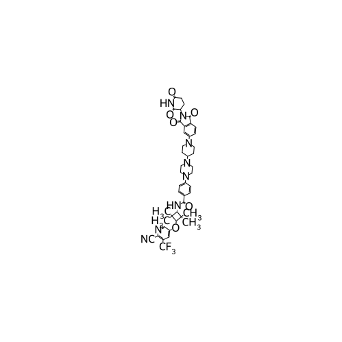 CC1(C)[C@H](NC(=O)c2ccc(N3CCN(C4CCN(c5ccc6c(c5)C(=O)N(C5CCC(=O)NC5=O)C6=O)CC4)CC3)cc2)C(C)(C)[C@H]1Oc1cnc(C#N)c(C(F)(F)F)c1